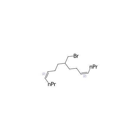 CCC/C=C\CCC(CBr)CC/C=C\CCC